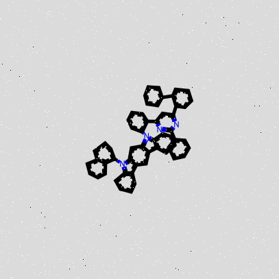 c1ccc(-c2nc(-c3ccccc3-c3ccccc3)cc(-c3ccccc3-n3c4ccccc4c4cc5c6ccccc6n(-c6cccc7ccccc67)c5cc43)n2)cc1